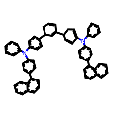 C1=CC(C2C=CC(N(c3ccccc3)c3ccc(-c4cccc5ccccc45)cc3)=CC2)=CC(c2ccc(N(c3ccccc3)c3ccc(-c4cccc5ccccc45)cc3)cc2)C1